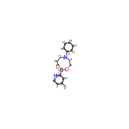 Cc1ccnc(B2OCCN(c3ccccc3)CCO2)c1